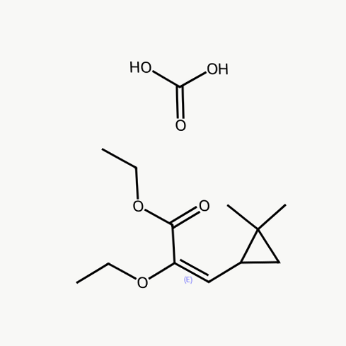 CCOC(=O)/C(=C\C1CC1(C)C)OCC.O=C(O)O